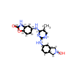 Cc1cnc(Nc2ccc3c(c2)CN(O)C3)nc1Nc1ccc2oc(=O)[nH]c2c1